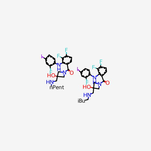 CCC(C)CNCC1(O)CN(C(=O)c2ccc(F)c(F)c2Nc2ccc(I)cc2F)C1.CCCCCNCC1(O)CN(C(=O)c2ccc(F)c(F)c2Nc2ccc(I)cc2F)C1